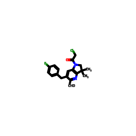 CC1(C)CN(C(=O)CCl)c2cc(Cc3ccc(F)cc3)c(C=O)nc21